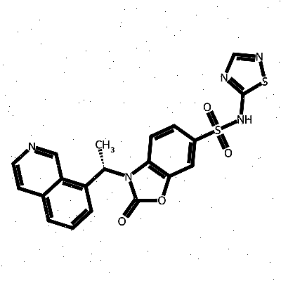 C[C@@H](c1cccc2ccncc12)n1c(=O)oc2cc(S(=O)(=O)Nc3ncns3)ccc21